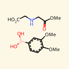 COC(=O)CNCC(=O)O.COc1ccc(B(O)O)cc1OC